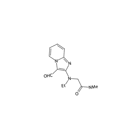 CCN(CC(=O)NC)c1nc2ccccn2c1C=O